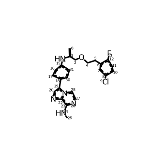 C=C(COCCc1cc(Cl)ccc1F)Nc1ccc(-c2cnc3c(NC)nccn23)cc1